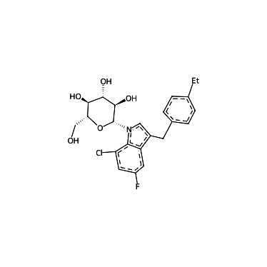 CCc1ccc(Cc2cn([C@@H]3O[C@H](CO)[C@@H](O)[C@H](O)[C@H]3O)c3c(Cl)cc(F)cc23)cc1